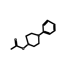 CC(=O)ON1CCN(c2ccccc2)CC1